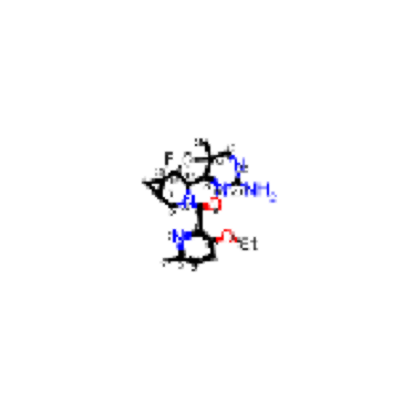 CCOc1ccc(C)nc1C(=O)N1CC2CC2CC1C1=NC(N)N=CC1(C)C(F)(F)F